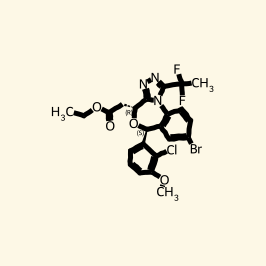 CCOC(=O)C[C@H]1O[C@H](c2cccc(OC)c2Cl)c2cc(Br)ccc2-n2c1nnc2C(C)(F)F